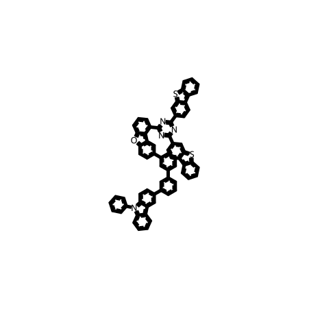 c1ccc(-n2c3ccccc3c3cc(-c4cccc(-c5cccc(-c6ccc7oc8cccc(-c9nc(-c%10ccc%11c(c%10)sc%10ccccc%10%11)nc(-c%10ccc%11c(c%10)sc%10ccccc%10%11)n9)c8c7c6)c5)c4)ccc32)cc1